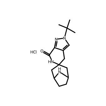 CC(C)(C)n1cc2c(n1)C(=O)NC1(C2)CC2CCC(C1)N2.Cl